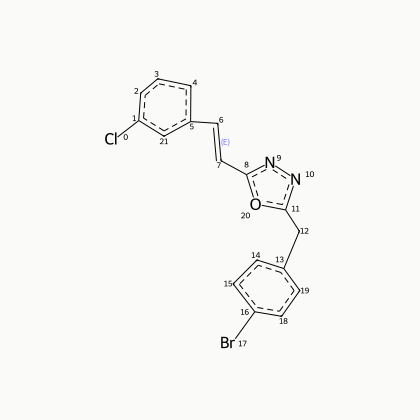 Clc1cccc(/C=C/c2nnc(Cc3ccc(Br)cc3)o2)c1